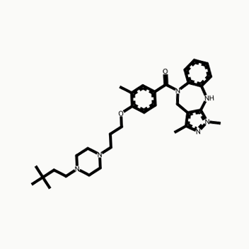 Cc1cc(C(=O)N2Cc3c(C)nn(C)c3Nc3ccccc32)ccc1OCCCN1CCN(CCC(C)(C)C)CC1